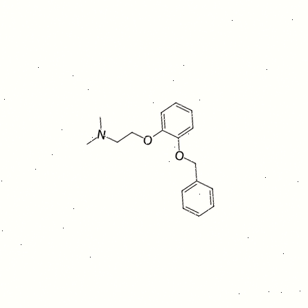 CN(C)CCOc1ccccc1OCc1ccccc1